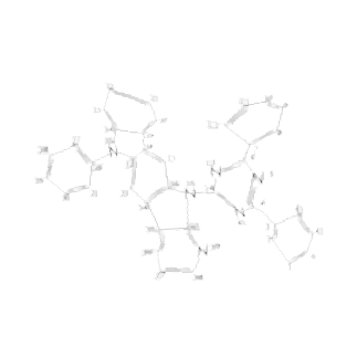 c1ccc(-c2nc(-c3ccccc3)nc(-n3c4cc5c6ccccc6n(-c6ccccc6)c5cc4c4cccnc43)n2)cc1